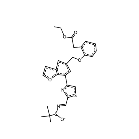 CCOC(=O)Cc1ccccc1OCc1cc(-c2csc(C=N[S+]([O-])C(C)(C)C)n2)c2occc2c1